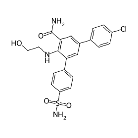 NC(=O)c1cc(-c2ccc(Cl)cc2)cc(-c2ccc(S(N)(=O)=O)cc2)c1NCCO